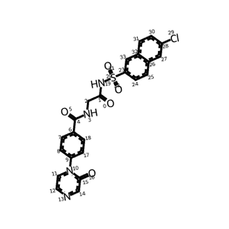 O=C(CNC(=O)c1ccc(-n2ccncc2=O)cc1)NS(=O)(=O)c1ccc2cc(Cl)ccc2c1